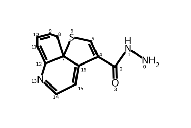 NNC(=O)C1=CSC23CC=CC=C2N=CC=C13